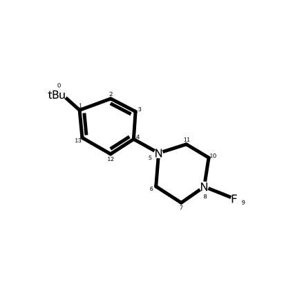 CC(C)(C)c1ccc(N2CCN(F)CC2)cc1